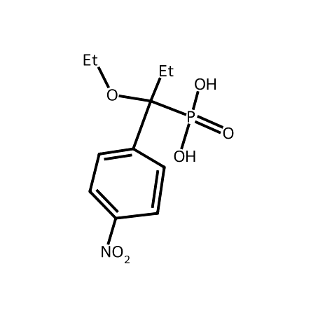 CCOC(CC)(c1ccc([N+](=O)[O-])cc1)P(=O)(O)O